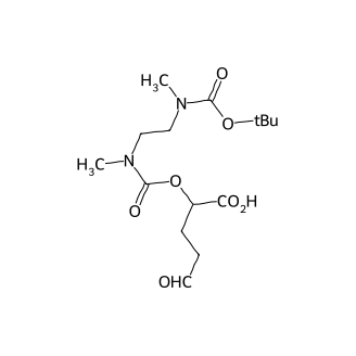 CN(CCN(C)C(=O)OC(C)(C)C)C(=O)OC(CCC=O)C(=O)O